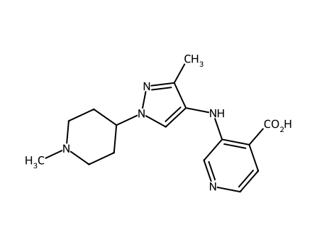 Cc1nn(C2CCN(C)CC2)cc1Nc1cnccc1C(=O)O